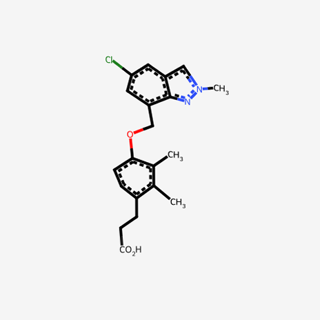 Cc1c(CCC(=O)O)ccc(OCc2cc(Cl)cc3cn(C)nc23)c1C